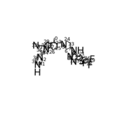 Cc1c(CN2CCC(Nc3ncnc4sc(CC(F)(F)F)cc34)CC2)ccc2c1cc(C#N)n2C[C@@H](C)N1CCNCC1